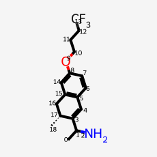 CC(N)C1=Cc2ccc(OCCCC(F)(F)F)cc2C[C@H]1C